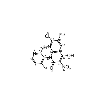 Cc1ccnc(C(C)C)c1-n1c(=O)c([N+](=O)[O-])c(O)c2cc(F)c(Cl)nc21